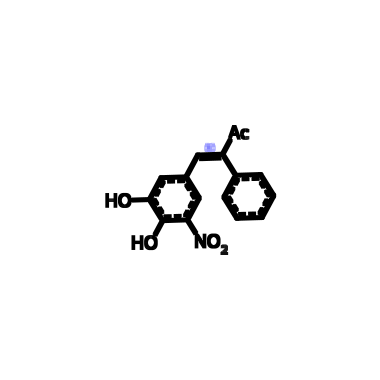 CC(=O)/C(=C/c1cc(O)c(O)c([N+](=O)[O-])c1)c1ccccc1